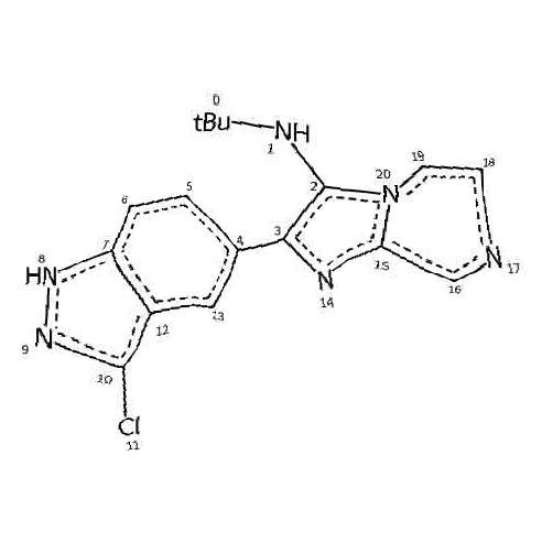 CC(C)(C)Nc1c(-c2ccc3[nH]nc(Cl)c3c2)nc2cnccn12